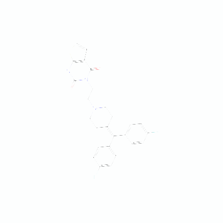 O=c1[nH]c2sccc2c(=O)n1CCN1CCC(=C(c2ccc(F)cc2)c2ccc(F)cc2)CC1